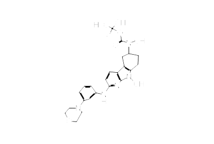 CN(C(=O)OC(C)(C)C)C1CCc2c(c3ccc(Nc4cccc(N5CCOCC5)c4)nc3n2C)C1